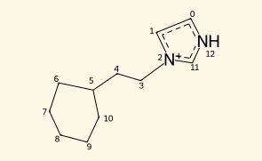 c1c[n+](CCC2CCCCC2)c[nH]1